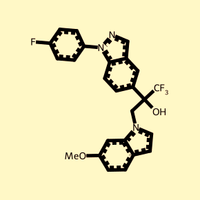 COc1ccc2ccn(CC(O)(c3ccc4c(cnn4-c4ccc(F)cc4)c3)C(F)(F)F)c2c1